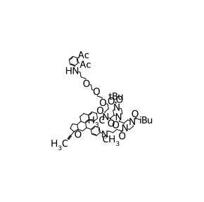 CC#CC12CCC3C4CCC5=CC(=O)CCC5=C4C(c4ccc(N(C)CCCC(=O)N5CCN(C(=O)C(C)CC)CC5C(=O)N5CCN(C(=O)OC(C)(C)C)CC5C(=O)N(C)CCCOCCOCCOCCCNc5cccc(C(C)=O)c5C(C)=O)cc4)CC31O2